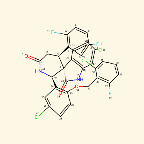 O=C1C[C@@H](c2cc(F)ccc2F)[C@]2(C(=O)Nc3cc(Cl)ccc32)[C@@H](c2cc(Cl)ccc2OCc2c(F)cccc2Cl)N1